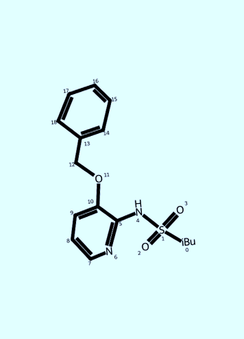 CCC(C)S(=O)(=O)Nc1ncccc1OCc1ccccc1